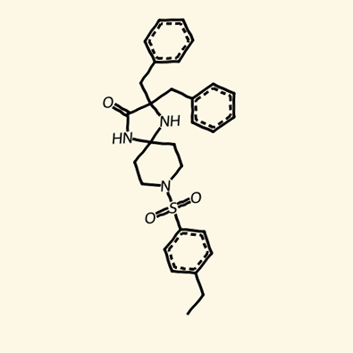 CCc1ccc(S(=O)(=O)N2CCC3(CC2)NC(=O)C(Cc2ccccc2)(Cc2ccccc2)N3)cc1